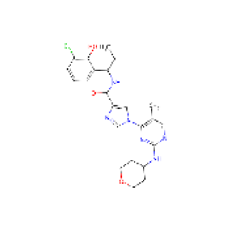 CCC(NC(=O)c1cn(-c2nc(NC3CCOCC3)ncc2C)cn1)c1cccc(Cl)c1O